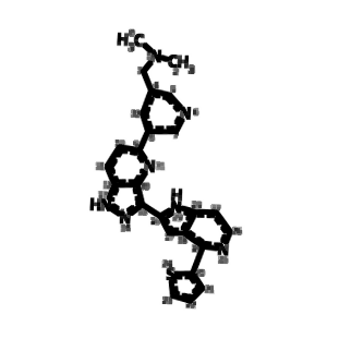 CN(C)Cc1cncc(-c2ccc3[nH]nc(-c4cc5c(-c6cccs6)nccc5[nH]4)c3n2)c1